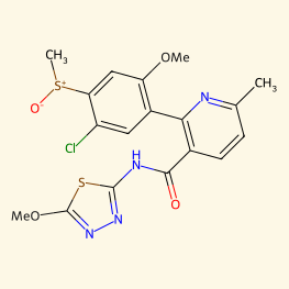 COc1nnc(NC(=O)c2ccc(C)nc2-c2cc(Cl)c([S+](C)[O-])cc2OC)s1